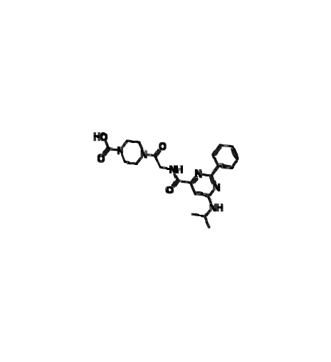 CC(C)Nc1cc(C(=O)NCC(=O)N2CCN(C(=O)O)CC2)nc(-c2ccccc2)n1